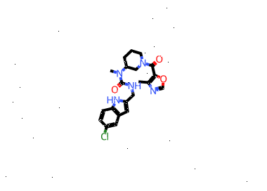 Cc1ncoc1C(=O)N1CCCC(N(C)C(=O)NCc2cc3cc(Cl)ccc3[nH]2)C1